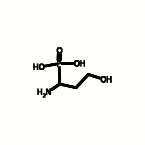 NC(CCO)P(=O)(O)O